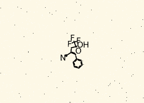 N#CC1=C(c2ccccc2)OC(O)(C(F)(F)F)C1